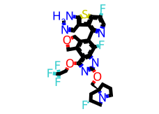 C/N=C\c1c(N)sc2c(F)cnc(-c3c4c(c5c(OCC(F)(F)F)nc(OC[C@@]67CCCN6C[C@H](F)C7)nc5c3F)COC4)c12